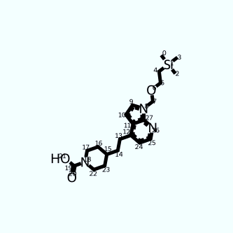 C[Si](C)(C)CCOCn1ccc2c(CCC3CCN(C(=O)O)CC3)ccnc21